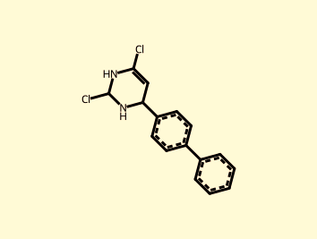 ClC1=CC(c2ccc(-c3ccccc3)cc2)NC(Cl)N1